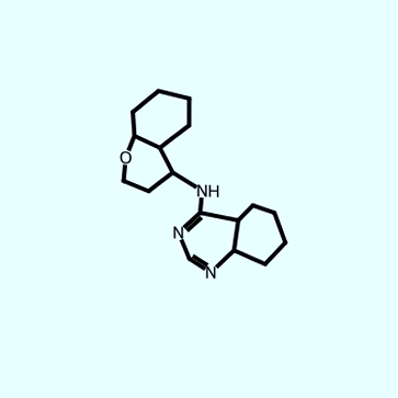 C1=NC2CCCCC2C(NC2CCOC3CCCCC23)=N1